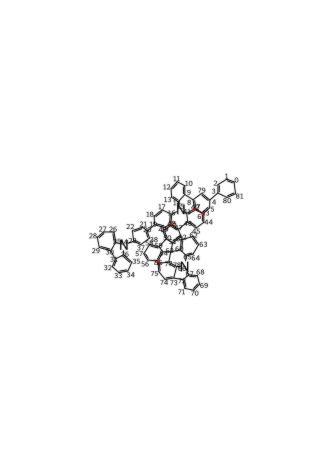 c1ccc(-c2cccc(-c3ccccc3N(c3ccc(-c4ccc(-n5c6ccccc6c6ccccc65)cc4)cc3)c3ccccc3-c3ccc4c(c3)C3(c5ccccc5-4)c4ccccc4-n4c5ccccc5c5cccc3c54)c2)cc1